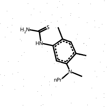 CCCN(C)c1cc(NC(N)=S)c(C)cc1C